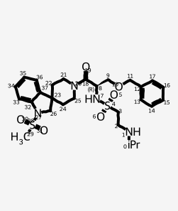 CC(C)NCCS(=O)(=O)N[C@H](COCc1ccccc1)C(=O)N1CCC2(CC1)CN(S(C)(=O)=O)c1ccccc12